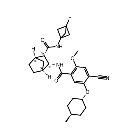 COc1cc(C#N)c(O[C@H]2CC[C@H](C)CC2)cc1C(=O)N[C@@H]1[C@H]2CC[C@H](C2)[C@@H]1C(=O)NC12CC(F)(C1)C2